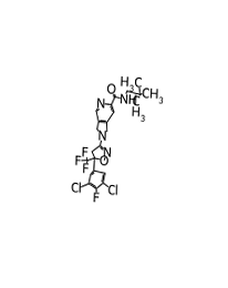 CC(C)(C)CNC(=O)c1cc2c(cn1)CN(C1=NOC(c3cc(Cl)c(F)c(Cl)c3)(C(F)(F)F)C1)C2